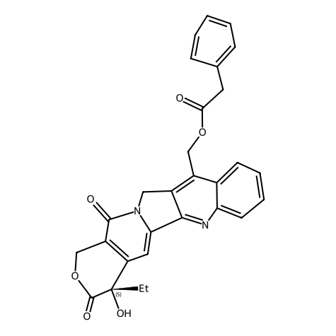 CC[C@@]1(O)C(=O)OCc2c1cc1n(c2=O)Cc2c-1nc1ccccc1c2COC(=O)Cc1ccccc1